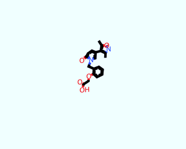 Cc1noc(C)c1-c1ccc(=O)n(Cc2ccccc2OCC(=O)O)c1